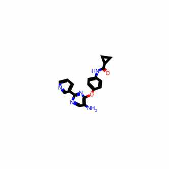 Nc1cnc(-c2cccnc2)nc1Oc1ccc(NC(=O)C2CC2)cc1